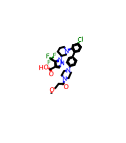 COCCC(=O)N1CCN(c2ccc(-c3ccc(Cl)cc3N3CCCC(n4ncc(C(=O)O)c4C(F)(F)F)C3)cc2)CC1